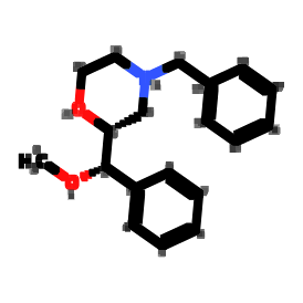 CO[C@@H](c1ccccc1)[C@H]1CN(Cc2ccccc2)CCO1